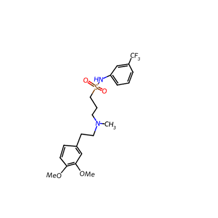 COc1ccc(CCN(C)CCCS(=O)(=O)Nc2cccc(C(F)(F)F)c2)cc1OC